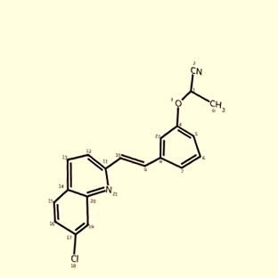 CC(C#N)Oc1cccc(C=Cc2ccc3ccc(Cl)cc3n2)c1